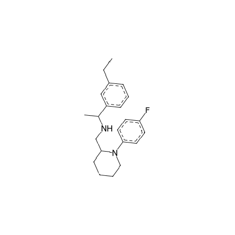 CCc1cccc(C(C)NCC2CCCCN2c2ccc(F)cc2)c1